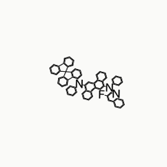 Fc1cc2ccccc2nc1N(c1ccccc1)c1cc2c3ccccc3c(N(c3ccccc3)c3cccc4c3-c3ccccc3C43c4ccccc4-c4ccccc43)cc2c2ccccc12